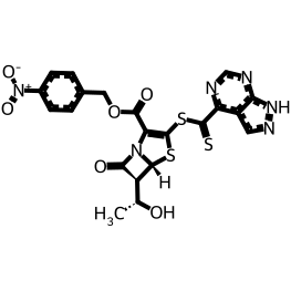 C[C@@H](O)[C@H]1C(=O)N2C(C(=O)OCc3ccc([N+](=O)[O-])cc3)=C(SC(=S)c3ncnc4[nH]ncc34)S[C@H]12